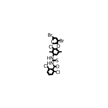 Cc1cc(NC(=S)NC(=O)c2c(Cl)cccc2Cl)c(C)c(Cl)c1Oc1ccc(Br)cc1Br